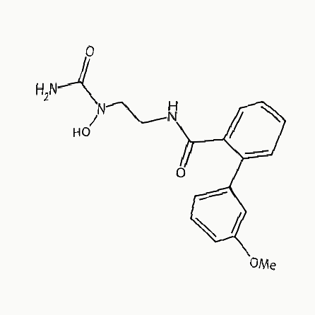 COc1cccc(-c2ccccc2C(=O)NCCN(O)C(N)=O)c1